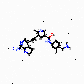 Cc1cc(NC(=O)c2cnc(C)c(C#Cc3cnc(N)c4ncccc34)c2)ccc1CN(C)C